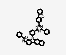 c1ccc(-c2nc(-c3cccc(-n4c5cc6ccccc6cc5c5ccc6nc(-c7ccccc7)oc6c54)c3)nc(-c3ccc4c(c3)oc3ccccc34)n2)cc1